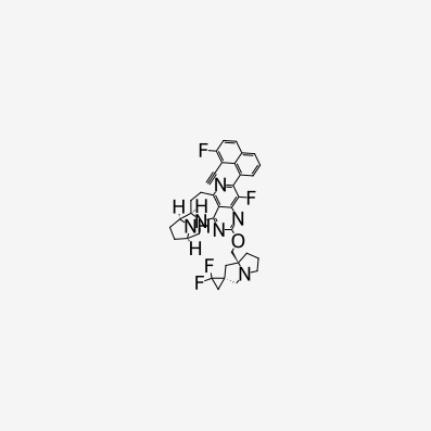 C#Cc1c(F)ccc2cccc(-c3nc4c5c(nc(OC[C@@]67CCCN6C[C@@]6(CC6(F)F)C7)nc5c3F)N3C[C@H]5CC[C@H](N5)[C@H]3CC4)c12